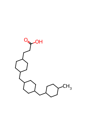 CC1CCC(CC2CCC(CC3CCC(CCC(=O)O)CC3)CC2)CC1